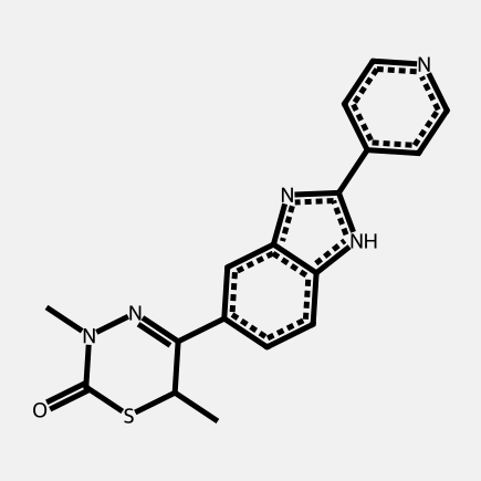 CC1SC(=O)N(C)N=C1c1ccc2[nH]c(-c3ccncc3)nc2c1